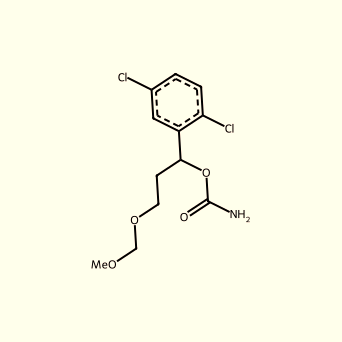 COCOCCC(OC(N)=O)c1cc(Cl)ccc1Cl